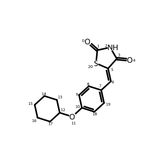 O=C1NC(=O)/C(=C/c2ccc(OC3CCCCC3)cc2)S1